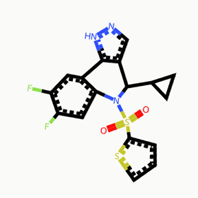 O=S(=O)(c1cccs1)N1c2cc(F)c(F)cc2-c2[nH]ncc2C1C1CC1